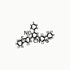 N#Cc1c(-c2ccccc2)cc(-c2ccc3sc4ccccc4c3c2)c(C#N)c1-c1ccc2c(c1)sc1ccccc12